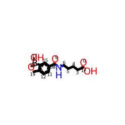 O=C(O)CCCCNC(=O)c1ccc2c(c1)B(O)OC2